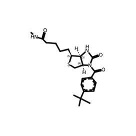 CNC(=O)CCCC[C@@H]1SC[C@H]2[C@@H]1NC(=O)N2C(=O)c1ccc(C(C)(C)C)cc1